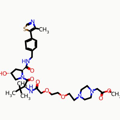 COC(=O)CN1CCN(CCOCCOCC(=O)N[C@H](C(=O)N2C[C@H](O)C[C@H]2C(=O)NCc2ccc(-c3scnc3C)cc2)C(C)(C)C)CC1